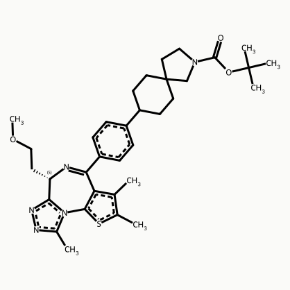 COCC[C@@H]1N=C(c2ccc(C3CCC4(CC3)CCN(C(=O)OC(C)(C)C)C4)cc2)c2c(sc(C)c2C)-n2c(C)nnc21